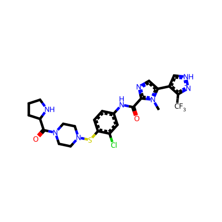 Cn1c(-c2c[nH]nc2C(F)(F)F)cnc1C(=O)Nc1ccc(SN2CCN(C(=O)C3CCCN3)CC2)c(Cl)c1